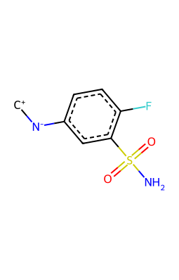 [CH2+][N-]c1ccc(F)c(S(N)(=O)=O)c1